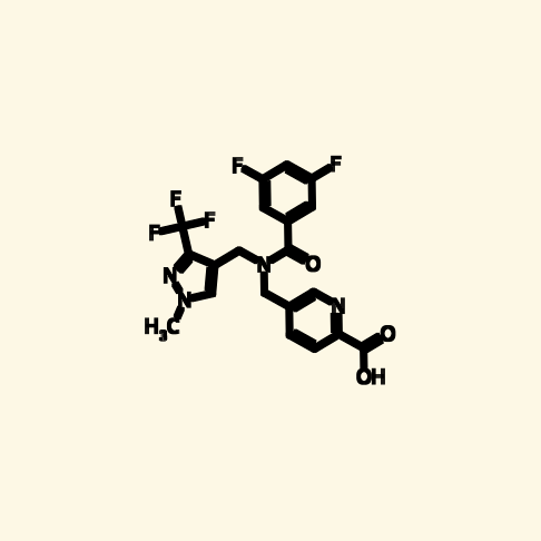 Cn1cc(CN(Cc2ccc(C(=O)O)nc2)C(=O)c2cc(F)cc(F)c2)c(C(F)(F)F)n1